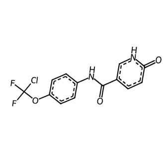 O=C(Nc1ccc(OC(F)(F)Cl)cc1)c1ccc(=O)[nH]c1